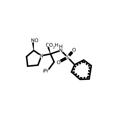 CC(C)C[C@](NS(=O)(=O)c1ccccc1)(C(=O)O)N1CCC[C@H]1N=O